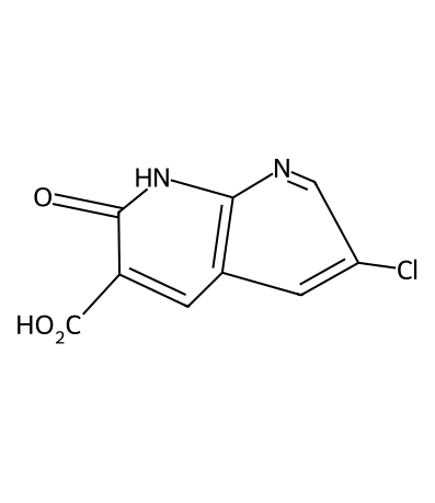 O=C(O)c1cc2cc(Cl)cnc2[nH]c1=O